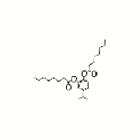 CCCCCCCC(=O)Oc1ccc(C(C)C)cc1OC(=O)CCCCCCC